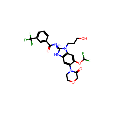 O=C(/N=c1\[nH]c2cc(N3CCOCC3=O)c(OC(F)F)cc2n1CCCO)c1cccc(C(F)(F)F)c1